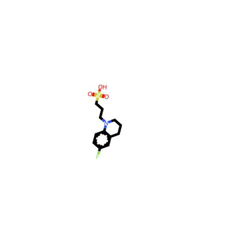 O=S(=O)(O)CCCN1CCCc2cc(F)ccc21